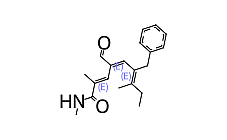 CC/C(C)=C(/C=C(C=O)\C=C(/C)C(=O)NC)Cc1ccccc1